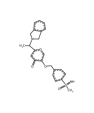 CC(c1cc(=O)c(OCc2ccc(S(C)(=N)=O)cc2)co1)N1Cc2ccccc2C1